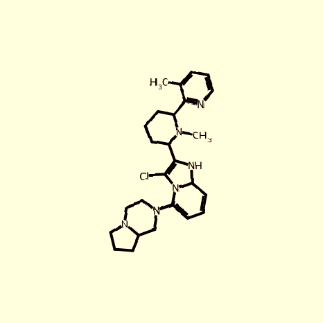 Cc1cccnc1C1CCCC(C2=C(Cl)N3C(N4CCN5CCCC5C4)=CC=CC3N2)N1C